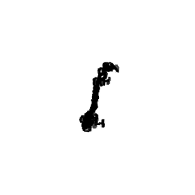 N#Cc1ccc(O[C@@H]2CCC[C@@H](NC(=O)c3ccc(N4CCC(N5CCN(c6ccc7c(c6)C(=O)N(C6CCC(=O)NC6=O)C7=O)CC5)CC4)cc3)CC2)cc1Cl